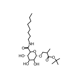 CCCCCCCCNC(=O)C1O[C@H](OCC(C)C(=O)OC(C)(C)C)C(O)[C@@H](O)[C@@H]1O